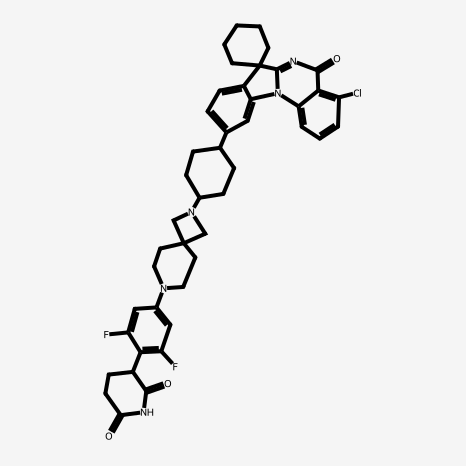 O=C1CCC(c2c(F)cc(N3CCC4(CC3)CN(C3CCC(c5ccc6c(c5)-n5c(nc(=O)c7c(Cl)cccc75)C65CCCCC5)CC3)C4)cc2F)C(=O)N1